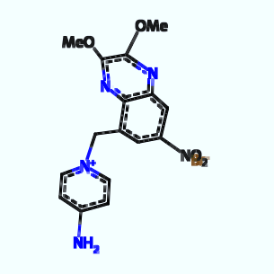 COc1nc2cc([N+](=O)[O-])cc(C[n+]3ccc(N)cc3)c2nc1OC.[Br-]